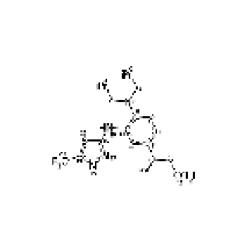 CC(C)CN(CC(C)C)c1ccc([C@H](C)CC(=O)O)cc1Nc1nnc(C(F)(F)F)s1